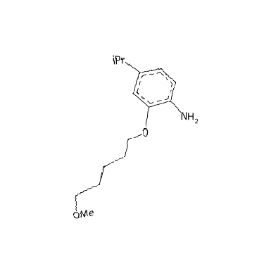 COCCCCCOc1cc(C(C)C)ccc1N